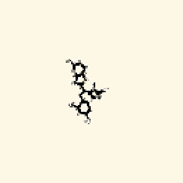 O=c1[nH]cc(C(Cc2ccc(Cl)cc2Cl)c2nc3ccc(F)nc3[nH]2)[nH]1